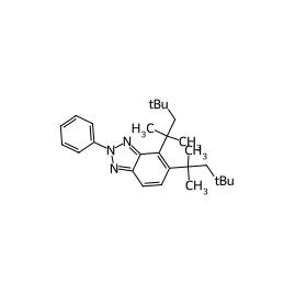 CC(C)(C)CC(C)(C)c1ccc2nn(-c3ccccc3)nc2c1C(C)(C)CC(C)(C)C